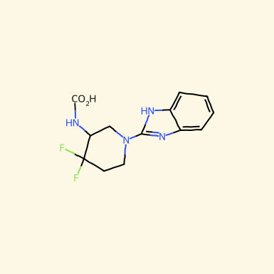 O=C(O)NC1CN(c2nc3ccccc3[nH]2)CCC1(F)F